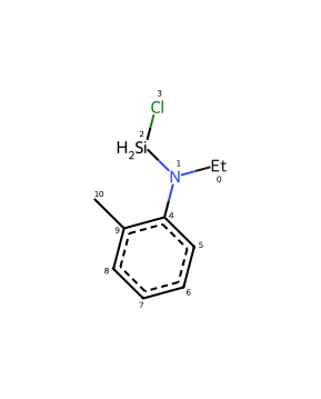 CCN([SiH2]Cl)c1ccccc1C